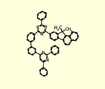 CC1(C)c2cc(-c3nc(-c4ccccc4)nc(-c4cccc(-c5cccc(-c6cc(-c7ccccc7)nc(-c7ccccc7)n6)c5)c4)n3)ccc2-c2ccc3ccccc3c21